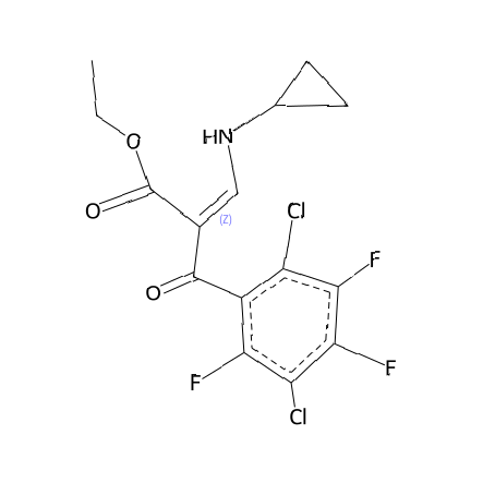 CCOC(=O)/C(=C\NC1CC1)C(=O)c1c(F)c(Cl)c(F)c(F)c1Cl